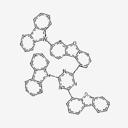 c1ccc2c(c1)oc1c(-c3nc(-c4cccc5oc6cc(-n7c8ccccc8c8ccccc87)ccc6c45)nc(-n4c5ccccc5c5ccccc54)n3)cccc12